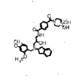 COc1ccc(CN(CC(O)CNC(=O)c2ccc(C(=O)N3CCS(O)(O)CC3)cc2)C2Cc3ccccc3C2)c(OC)c1